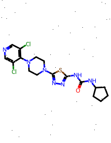 O=C(Nc1nnc(N2CCN(c3c(Cl)cncc3Cl)CC2)s1)NC1CCCC1